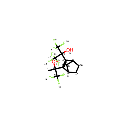 CC(O)(C1=C(C(O)(C(F)(F)F)C(F)(F)F)C2CCC1C2)C(F)(F)F